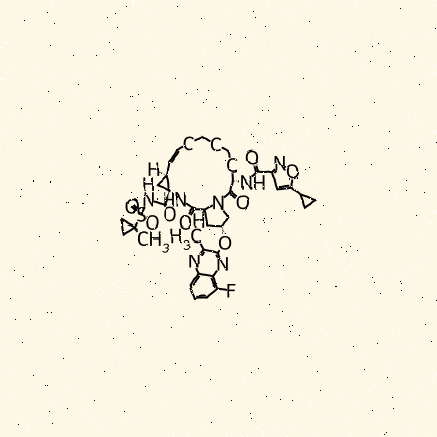 Cc1nc2cccc(F)c2nc1O[C@@H]1C[C@H]2C(=O)N[C@]3(C(=O)NS(=O)(=O)C4(C)CC4)C[C@H]3/C=C\CCCCC[C@H](NC(=O)c3cc(C4CC4)on3)C(=O)N2C1